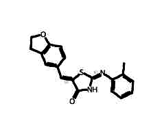 Cc1ccccc1/N=C1\NC(=O)/C(=C/c2ccc3c(c2)CCO3)S1